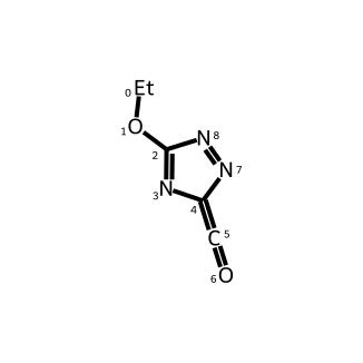 CCOC1=NC(=C=O)N=N1